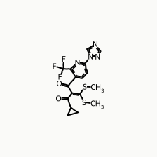 CSC(SC)=C(C(=O)c1ccc(-n2cncn2)nc1C(F)(F)F)C(=O)C1CC1